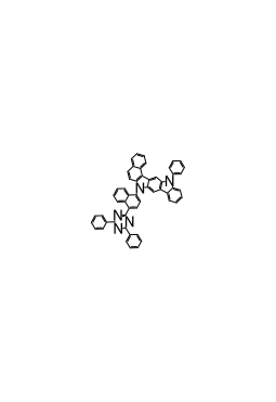 c1ccc(-c2nc(-c3ccccc3)nc(-c3ccc(-n4c5cc6c7ccccc7n(-c7ccccc7)c6cc5c5c6ccccc6ccc54)c4ccccc34)n2)cc1